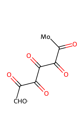 O=[C]C(=O)C(=O)C(=O)C(=O)[C](=O)[Mo]